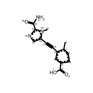 Cc1ccc(C(=O)O)cc1C#Cc1cnc(C(N)=O)n1C